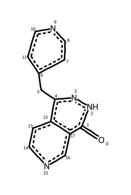 O=c1[nH]nc(Cc2ccncc2)c2ccncc12